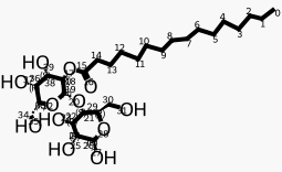 CCCCCCCCCCCCCCCC(=O)O[C@H]1[C@H](O[C@H]2[C@H](O)[C@@H](O)[C@H](O)O[C@@H]2CO)O[C@H](CO)[C@H](O)[C@@H]1O